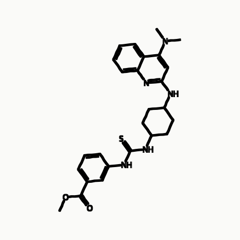 COC(=O)c1cccc(NC(=S)NC2CCC(Nc3cc(N(C)C)c4ccccc4n3)CC2)c1